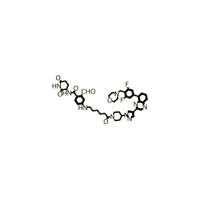 O=Cc1cc(NCCCCCC(=O)N2CCC(n3cc(-c4cnc5cccc(-c6cc(F)c(CN7CCOCC7)c(F)c6)c5n4)cn3)CC2)ccc1C(=O)NC1CCC(=O)NC1=O